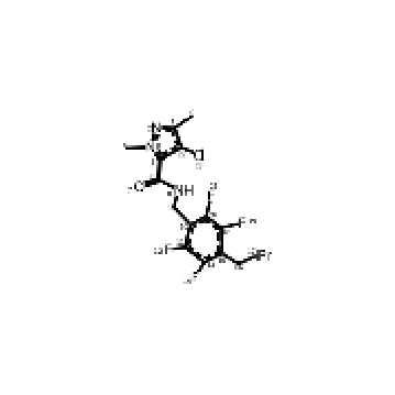 Cc1nn(C)c(C(=O)NCc2c(F)c(F)c(CC(C)C)c(F)c2F)c1Cl